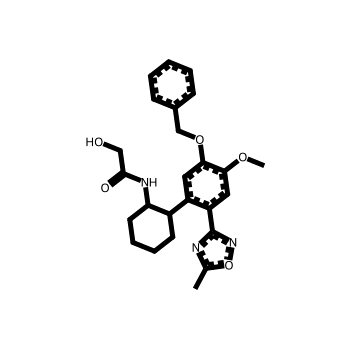 COc1cc(-c2noc(C)n2)c(C2CCCCC2NC(=O)CO)cc1OCc1ccccc1